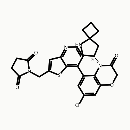 O=C1CCC(=O)N1Cc1cc2nccc(-c3cc(Cl)cc4c3N([C@@H]3CNC5(CCC5)C3)C(=O)CO4)c2s1